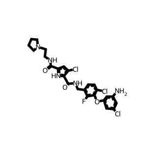 Nc1cc(Cl)cc(Oc2c(Cl)ccc(CNC(=O)c3[nH]c(C(=O)NCCN4CCCC4)cc3Cl)c2F)c1